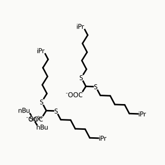 CC(C)CCCCCSC(SCCCCCC(C)C)C(=O)[O-].CC(C)CCCCCSC(SCCCCCC(C)C)C(=O)[O-].CCC[CH2][Sn+2][CH2]CCC